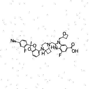 C[C@]1(c2ccc(C#N)cc2F)Oc2cccc(N3CCN(Cc4nc5c(F)cc(C(=O)O)cc5n4C[C@@H]4CCO4)[C@H]4CC[C@@H]43)c2O1